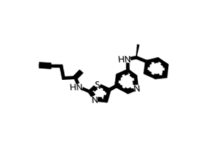 C#CCCC(=C)Nc1ncc(-c2cncc(N[C@@H](C)c3ccccc3)c2)s1